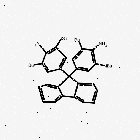 CCC(C)c1cc(C2(c3cc(C(C)CC)c(N)c(C(C)CC)c3)c3ccccc3-c3ccccc32)cc(C(C)CC)c1N